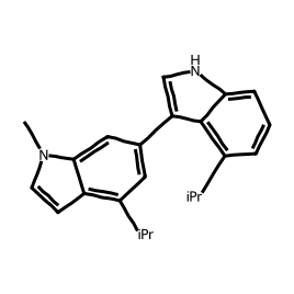 CC(C)c1cc(-c2c[nH]c3cccc(C(C)C)c23)cc2c1ccn2C